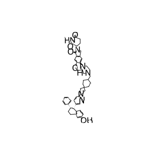 O=C1CCC(N2Cc3cc4c(cc3C2=O)OC[C@@H]2CN(CC3CCC5(CC3)CN(c3ccc([C@@H]6c7ccc(O)cc7CC[C@@H]6c6ccccc6)cn3)C5)CCN42)C(=O)N1